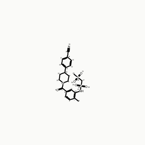 Cc1ccc(C(=O)N2CCC(c3ccc(C#N)cc3)CC2)cc1NS(=O)(=O)CS(C)(=O)=O